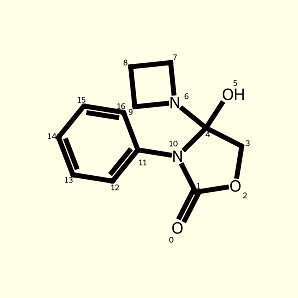 O=C1OCC(O)(N2CCC2)N1c1ccccc1